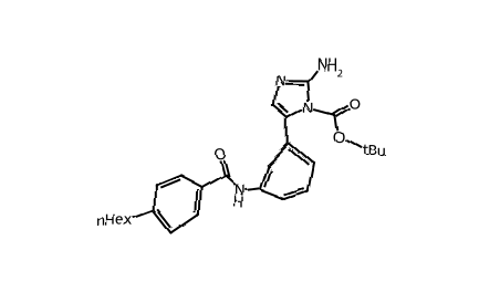 CCCCCCc1ccc(C(=O)Nc2cccc(-c3cnc(N)n3C(=O)OC(C)(C)C)c2)cc1